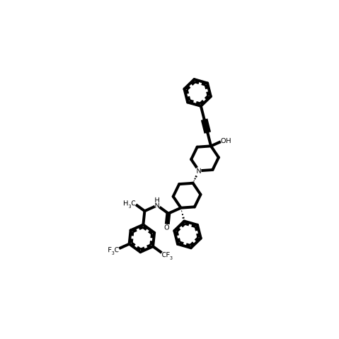 CC(NC(=O)[C@]1(c2ccccc2)CC[C@@H](N2CCC(O)(C#Cc3ccccc3)CC2)CC1)c1cc(C(F)(F)F)cc(C(F)(F)F)c1